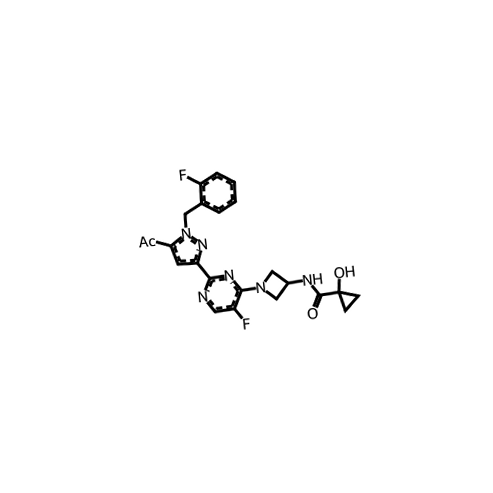 CC(=O)c1cc(-c2ncc(F)c(N3CC(NC(=O)C4(O)CC4)C3)n2)nn1Cc1ccccc1F